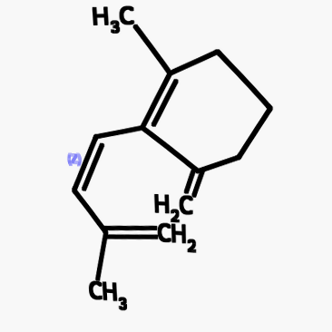 C=C(C)/C=C\C1=C(C)CCCC1=C